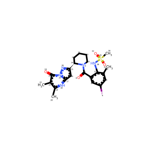 Cc1cc(I)cc(C(=O)N2CCCC[C@H]2c2cc3[nH]c(C)c(C)c(=O)n3n2)c1NS(C)(=O)=O